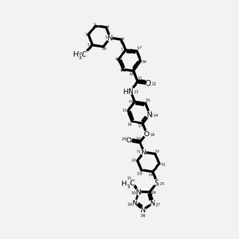 CC1CCCN(Cc2ccc(C(=O)Nc3ccc(OC(=O)N4CCC(Sc5nnnn5C)CC4)nc3)cc2)C1